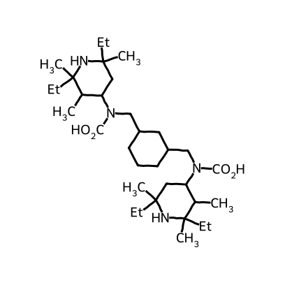 CCC1(C)CC(N(CC2CCCC(CN(C(=O)O)C3CC(C)(CC)NC(C)(CC)C3C)C2)C(=O)O)C(C)C(C)(CC)N1